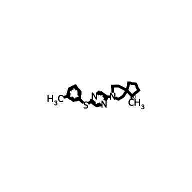 Cc1cccc(Sc2cnc(N3CCC4(CCC[C@H]4C)CC3)cn2)c1